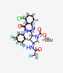 CC(C)(C)OC(=O)N1CC(NC(=O)C(F)F)CC1c1nc2cccc(Cl)c2c(=O)n1-c1cc(F)cc(F)c1